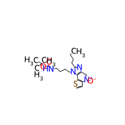 CCCCc1nc2c[n+]([O-])c3ccsc3c2n1CCCCNC(=O)OC(C)(C)C